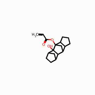 C=CC(=O)OC12CC(C3CCCC31)C1C3CCC(C3)C12O